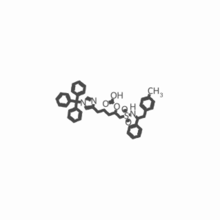 Cc1ccc(CC(NS(=O)(=O)CC(CCCc2cn(C(c3ccccc3)(c3ccccc3)c3ccccc3)cn2)OC(=O)O)c2ccccc2)cc1